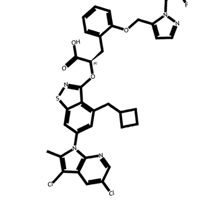 Cc1c(Cl)c2cc(Cl)cnc2n1-c1cc(CC2CCC2)c2c(O[C@H](Cc3ccccc3OCc3ccnn3CC(F)(F)F)C(=O)O)nsc2c1